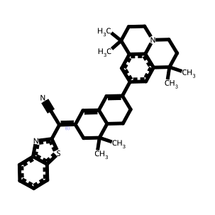 CC1(C)CCN2CCC(C)(C)c3cc(C4=CC5=C/C(=C(\C#N)c6nc7ccccc7s6)CC(C)(C)C5CC4)cc1c32